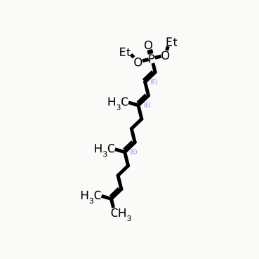 CCOP(=O)(/C=C/C=C(\C)CC/C=C(\C)CCC=C(C)C)OCC